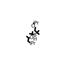 CC(C)CC(C)OC(C)(C)BC(C)(C)CCOC(C)C